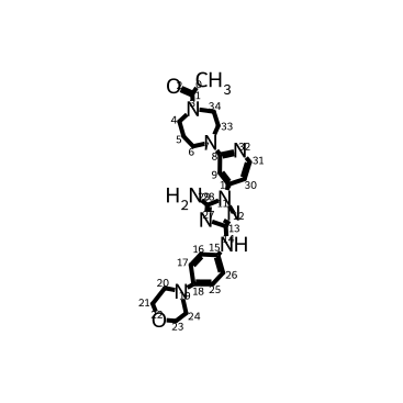 CC(=O)N1CCCN(c2cc(-n3nc(Nc4ccc(N5CCOCC5)cc4)nc3N)ccn2)CC1